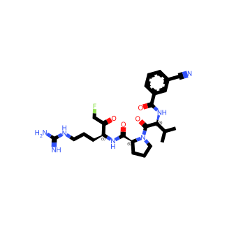 CC(C)[C@H](NC(=O)c1cccc(C#N)c1)C(=O)N1CCC[C@H]1C(=O)N[C@@H](CCCNC(=N)N)C(=O)CF